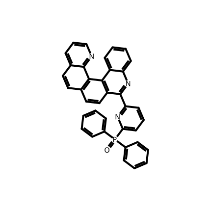 O=P(c1ccccc1)(c1ccccc1)c1cccc(-c2nc3ccccc3c3c2ccc2ccc4cccnc4c23)n1